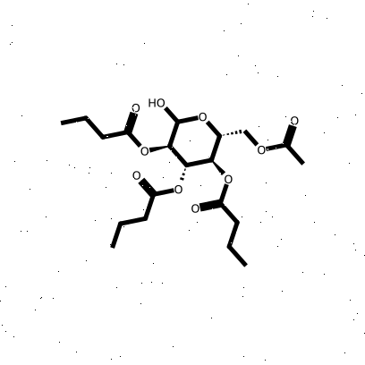 CCCC(=O)O[C@H]1[C@H](OC(=O)CCC)[C@@H](OC(=O)CCC)C(O)O[C@@H]1COC(C)=O